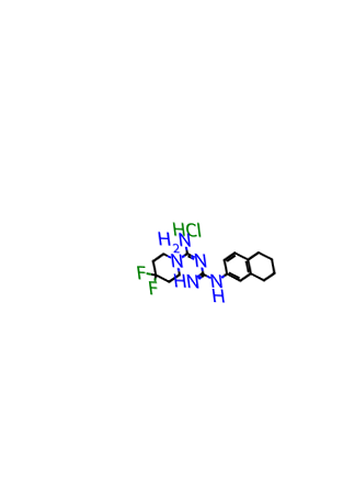 Cl.N=C(N=C(N)N1CCC(F)(F)CC1)Nc1ccc2c(c1)CCCC2